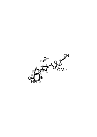 COP(=O)(OCCC#N)OC[C@H]1C[C@@H](n2cnc3c(=O)[nH]cnc32)[C@@H]1CO